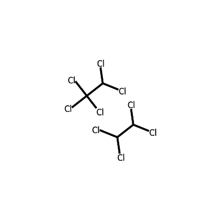 ClC(Cl)C(Cl)(Cl)Cl.ClC(Cl)C(Cl)Cl